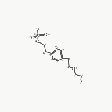 COCOCCc1ccc(CCOS(C)(=O)=O)nc1